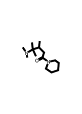 CC(CC(=O)N1CCCCC1)C(C)(C)N(C)C